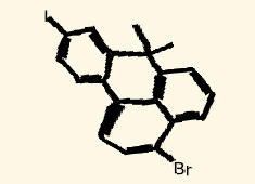 CC1(C)c2cc(I)ccc2-c2ccc(Br)c3cccc1c23